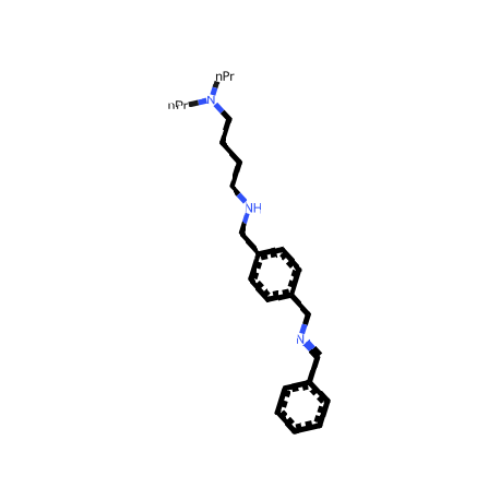 CCCN(CCC)CCCCNCc1ccc(CN=Cc2ccccc2)cc1